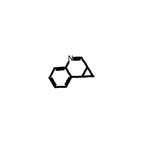 C1=Nc2ccccc2C2CC12